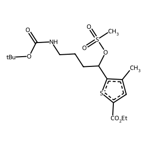 CCOC(=O)c1cc(C)c(C(CCCNC(=O)OC(C)(C)C)OS(C)(=O)=O)s1